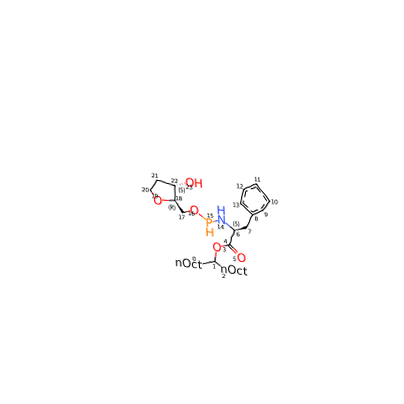 CCCCCCCCC(CCCCCCCC)OC(=O)[C@H](Cc1ccccc1)NPOC[C@H]1OCC[C@@H]1O